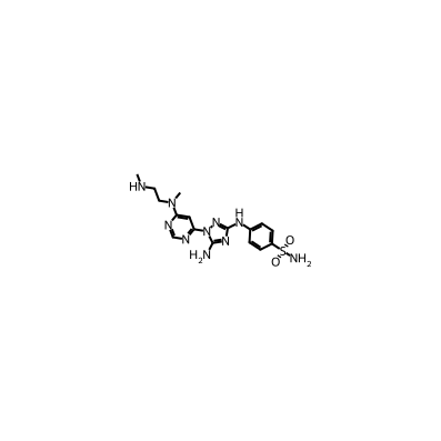 CNCCN(C)c1cc(-n2nc(Nc3ccc(S(N)(=O)=O)cc3)nc2N)ncn1